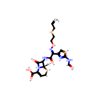 C=CCSCCON=C(C(=O)NC1C(=O)N2C(C(=O)O)=CCS[C@@H]12)c1csc(NC=O)n1